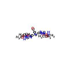 CNC(=O)O[C@H](C(=O)N1CCC[C@H]1c1nc2ccc([C@H]3CC[C@H](c4ccc5[nH]c([C@@H]6CCCN6C(=O)[C@@H](NC(=O)OC)C(C)C)nc5c4)N3c3ccc(C4CCOCC4)cc3)cc2[nH]1)C(C)C